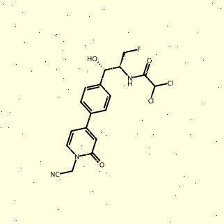 N#CCn1ccc(-c2ccc([C@H](O)[C@@H](CF)NC(=O)C(Cl)Cl)cc2)cc1=O